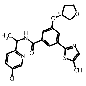 Cc1cnc(-c2cc(O[C@H]3CCOC3)cc(C(=O)NC(C)c3ccc(Cl)cn3)c2)s1